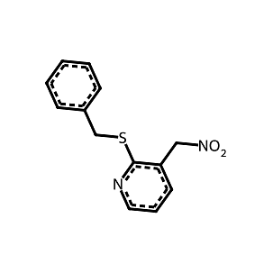 O=[N+]([O-])Cc1cccnc1SCc1ccccc1